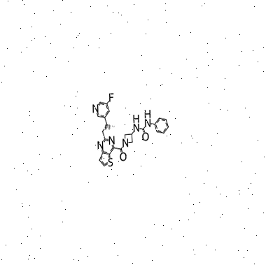 C[C@H](Cc1nc(C(=O)N2CC(NC(=O)Nc3ccccc3)C2)c2sccc2n1)c1cncc(F)c1